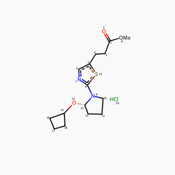 COC(=O)CCc1cnc(N2CCC[C@@H]2OC2CCC2)s1.Cl